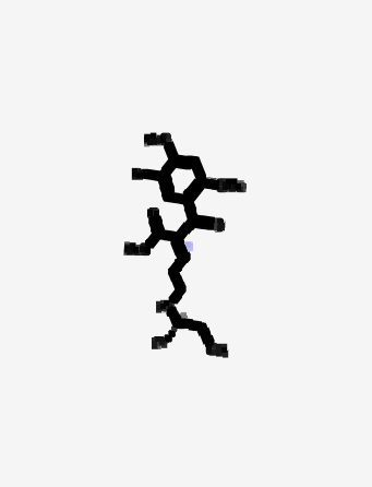 COC(=O)/C(=C\CCN[C@H](CO)C(C)C)C(=O)c1cc(Br)c(OC)cc1OC